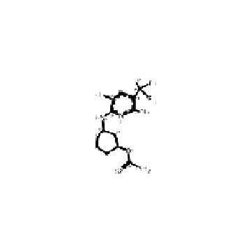 NC(=O)OC1CCCC(Nc2nc(Cl)c(C(F)(F)F)cc2F)C1